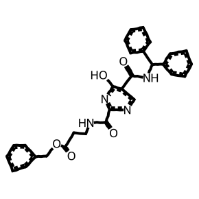 O=C(CCNC(=O)c1ncc(C(=O)NC(c2ccccc2)c2ccccc2)c(O)n1)OCc1ccccc1